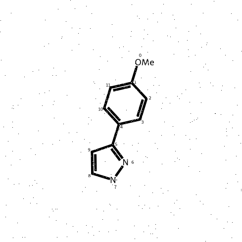 COc1ccc(C2=N[N]C=C2)cc1